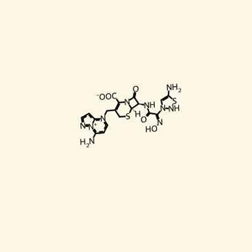 NC1=CN(/C(=N/O)C(=O)N[C@@H]2C(=O)N3C(C(=O)[O-])=C(Cn4ccc(N)[n+]5nccc4-5)CS[C@H]23)NS1